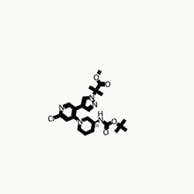 COC(=O)C(C)(C)n1cc(-c2cnc(Cl)cc2N2CCC[C@H](NC(=O)OC(C)(C)C)C2)cn1